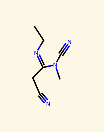 CCN=C(CC#N)N(C)C#N